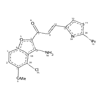 COc1ccc2oc(C(=O)C=Cc3csc(C(C)C)n3)c(N)c2c1Cl